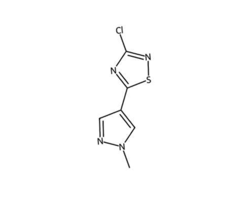 Cn1cc(-c2nc(Cl)ns2)cn1